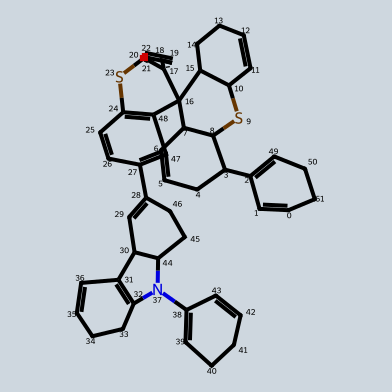 C1=CC(C2CC=CC3C2SC2C=CCCC2C32c3ccccc3Sc3ccc(C4=CC5C6=C(CCC=C6)N(C6=CCCC=C6)C5CC4)cc32)=CCC1